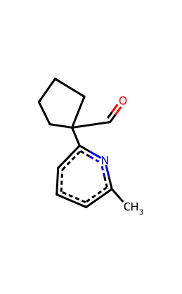 Cc1cccc(C2(C=O)CCCC2)n1